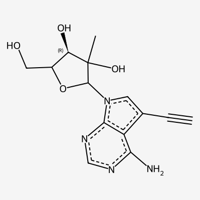 C#Cc1cn(C2OC(CO)[C@@H](O)C2(C)O)c2ncnc(N)c12